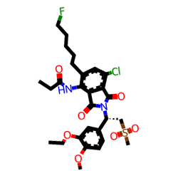 CCOc1cc([C@@H](CS(C)(=O)=O)N2C(=O)c3c(Cl)cc(CCCCCF)c(NC(=O)CC)c3C2=O)ccc1OC